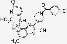 Cc1cc([C@@H](C)Nc2ccc(Cl)nc2C(=O)O)c2nc(N3CCN(C(=O)c4ccc(Cl)cc4)CC3)c(C#N)nc2c1